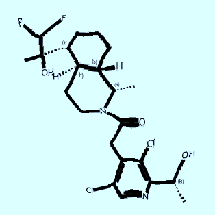 C[C@@H](O)c1ncc(Cl)c(CC(=O)N2CC[C@@H]3[C@H](CCC[C@H]3C(C)(O)C(F)F)[C@@H]2C)c1Cl